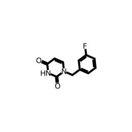 O=c1ccn(Cc2cccc(F)c2)c(=O)[nH]1